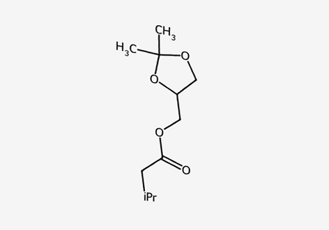 CC(C)CC(=O)OCC1COC(C)(C)O1